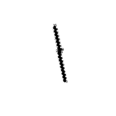 CCCCCCCCCCCCCCCCCC[N+](C)(C)C(C)CCCCCCCCCCCCCC